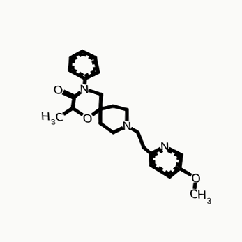 COc1ccc(CCN2CCC3(CC2)CN(c2ccccc2)C(=O)C(C)O3)nc1